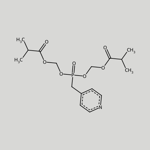 CC(C)C(=O)OCOP(=O)(Cc1ccncc1)OCOC(=O)C(C)C